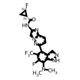 CN(C)c1c(F)c(C(F)(F)F)c(-c2ccc3nc(NC(=O)[C@@H]4C[C@@H]4F)cn3n2)c2cn[nH]c12